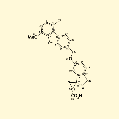 COc1ccc(F)c2c1Cc1cc(COc3ccc4c(c3)[C@]3(CC4)C[C@H]3C(=O)O)ccc1-2